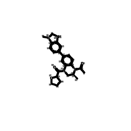 CC(=O)N1c2ccc(-c3ccc4c(c3)NCN4C)cc2N(C(=O)C2CCCO2)C[C@@H]1C